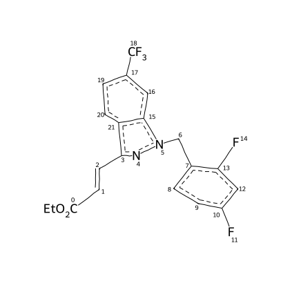 CCOC(=O)C=Cc1nn(Cc2ccc(F)cc2F)c2cc(C(F)(F)F)ccc12